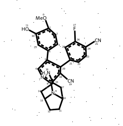 COc1ccc(-c2cnc(N3C4CCC3CC(N)C4)c(C#N)c2-c2ccc(C#N)c(F)c2)cc1O